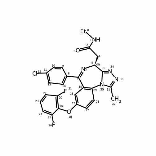 CCNC(=O)C[C@@H]1N=C(c2ccc(Cl)cc2)c2cc(Oc3c(F)cccc3F)ccc2-n2c(C)nnc21